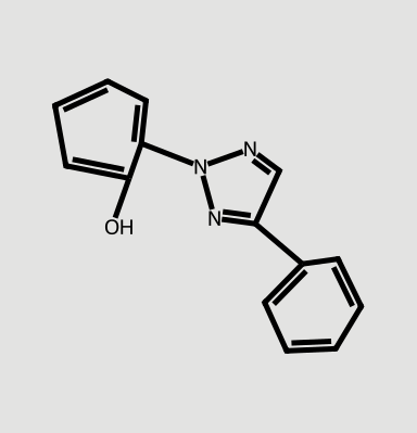 Oc1ccccc1-n1ncc(-c2ccccc2)n1